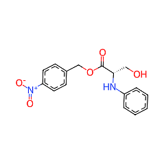 O=C(OCc1ccc([N+](=O)[O-])cc1)[C@H](CO)Nc1ccccc1